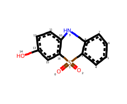 O=S1(=O)c2ccccc2Nc2ccc(O)cc21